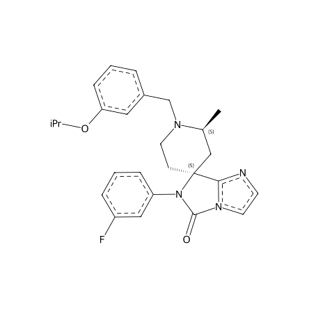 CC(C)Oc1cccc(CN2CC[C@]3(C[C@@H]2C)c2nccn2C(=O)N3c2cccc(F)c2)c1